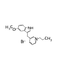 CCC[n+]1cccc(Cc2c[nH]c3ccc(OC)cc23)c1.[Br-]